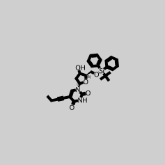 CCC#Cc1cn([C@H]2CC(O)[C@@H](CO[Si](c3ccccc3)(c3ccccc3)C(C)(C)C)O2)c(=O)[nH]c1=O